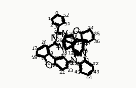 c1ccc(-c2nc(-c3ccccc3)nc(-c3cccc4oc5ccc(-n6c(-c7cccc8oc9ccccc9c78)nc7ccccc76)cc5c34)n2)cc1